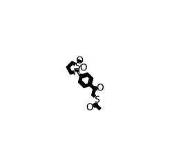 CC(=O)SCC(=O)c1ccc(N2CCCS2(=O)=O)cc1